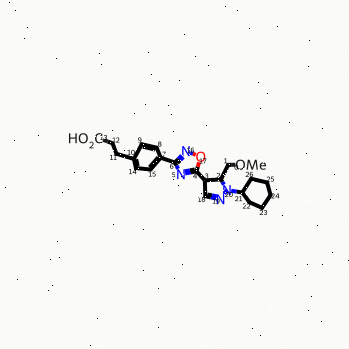 COCC1C(c2nc(-c3ccc(CCC(=O)O)cc3)no2)C=NN1C1CCCCC1